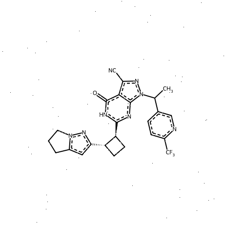 CC(c1ccc(C(F)(F)F)nc1)n1nc(C#N)c2c(=O)[nH]c([C@H]3CC[C@@H]3c3cc4n(n3)CCC4)nc21